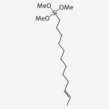 CC=CCCCCCCCCC[Si](OC)(OC)OC